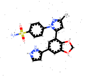 NS(=O)(=O)c1ccc(-n2nc(C(F)(F)F)cc2-c2cc(-c3ccn[nH]3)cc3c2OCO3)cc1